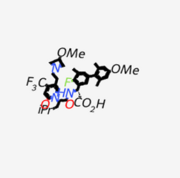 COc1cc(C)c(-c2cc(C)c(F)c([C@H](CC(=O)O)NC(=O)C(CC(C)C)n3cc(CCN4CC(OC)C4)c(C(F)(F)F)cc3=O)c2)c(C)c1